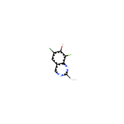 CSc1ncc2cc(Cl)c(Br)c(F)c2n1